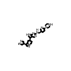 Cn1cc(-c2cnn3ccc(-c4c[nH]c5nc(NCc6ccc(N7CCNCC7)nc6)ncc45)cc23)cn1